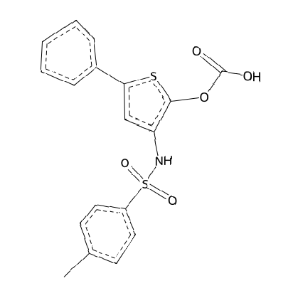 Cc1ccc(S(=O)(=O)Nc2cc(-c3ccccc3)sc2OC(=O)O)cc1